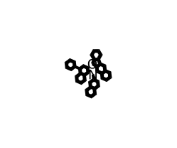 c1ccc(-c2ccc(N(c3ccc4ccccc4c3)c3c4ccccc4cc4c3oc3ccccc34)c3ccccc23)cc1